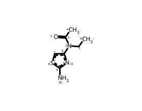 [CH2]CN(C(C)=O)c1csc(N)n1